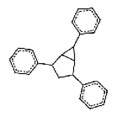 c1ccc(C2CC(c3ccccc3)C3C(c4ccccc4)C23)cc1